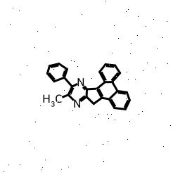 Cc1nc2c(nc1-c1ccccc1)-c1c(c3ccccc3c3ccccc13)C2